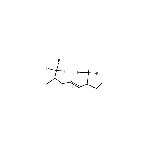 CCC(/C=C/CC(C)C(F)(F)F)C(F)(F)F